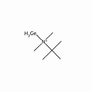 CC(C)(C)[N+](C)(C)[GeH3]